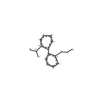 CCCc1ccccc1-c1ccc[c]c1C(C)C